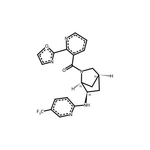 O=C(c1cccnc1-c1ncco1)N1C[C@H]2C[C@@H](Nc3ccc(C(F)(F)F)cn3)[C@@H]1C2